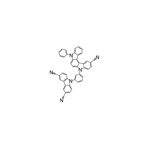 N#Cc1ccc2c(c1)c1cc(C#N)ccc1n2-c1cccc(-n2c3ccc(C#N)cc3c3c4c5ccccc5n(-c5ccccc5)c4ccc32)c1